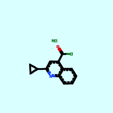 Cl.O=C(Cl)c1cc(C2CC2)nc2ccccc12